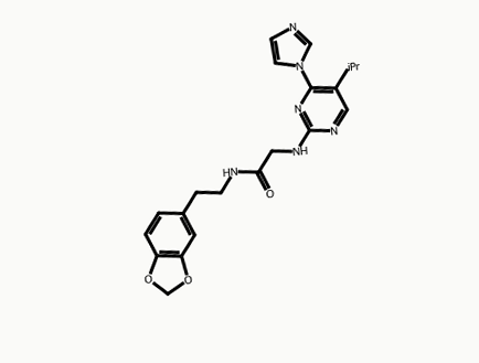 CC(C)c1cnc(NCC(=O)NCCc2ccc3c(c2)OCO3)nc1-n1ccnc1